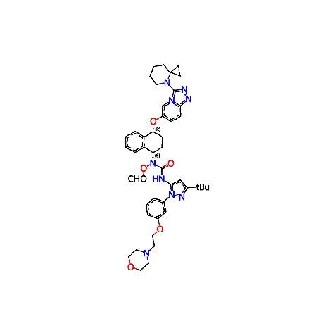 CC(C)(C)c1cc(NC(=O)N(OC=O)[C@H]2CC[C@@H](Oc3ccc4nnc(N5CCCCC56CC6)n4c3)c3ccccc32)n(-c2cccc(OCCN3CCOCC3)c2)n1